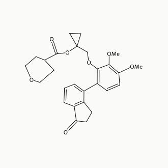 COc1ccc(-c2cccc3c2CCC3=O)c(OCC2(OC(=O)C3CCOCC3)CC2)c1OC